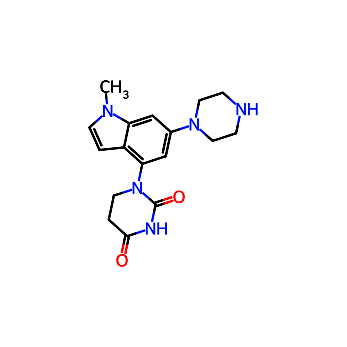 Cn1ccc2c(N3CCC(=O)NC3=O)cc(N3CCNCC3)cc21